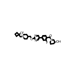 O=C(c1ccc(-c2cnc(OCC3CCN(CC4(C(F)(F)F)CCC4)CC3)nc2)cc1F)N1CCC[C@@H](O)C1